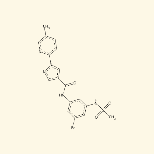 Cc1ccc(-n2cc(C(=O)Nc3cc(Br)cc(NS(C)(=O)=O)c3)cn2)nc1